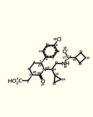 O=C(O)C[C@H]1CC[C@@H](c2ccc(Cl)cc2)N(C(CN[S+]([O-])C2CCC2)C2CC2)C1=O